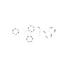 CC1OC2=CC=C3C=CC=CC3C2=CC12C=Cc1ccc(N(Cc3ccccc3)Cc3ccccc3)cc1O2